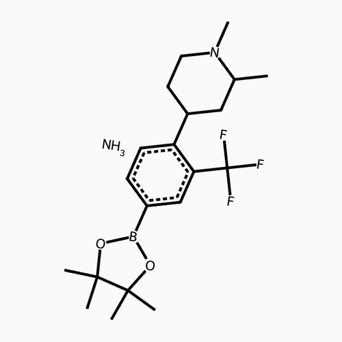 CC1CC(c2ccc(B3OC(C)(C)C(C)(C)O3)cc2C(F)(F)F)CCN1C.N